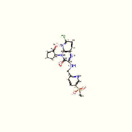 CCS(=O)(=O)c1ccc(CNc2nc3ccc(Cl)nc3n(C3CCCC3=O)c2=O)nc1